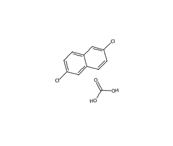 Clc1ccc2cc(Cl)ccc2c1.O=C(O)O